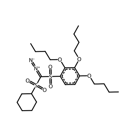 CCCCOc1ccc(S(=O)(=O)C(=[N+]=[N-])S(=O)(=O)C2CCCCC2)c(OCCCC)c1OCCCC